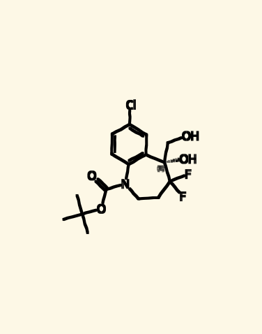 CC(C)(C)OC(=O)N1CCC(F)(F)[C@](O)(CO)c2cc(Cl)ccc21